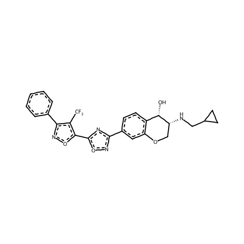 O[C@H]1c2ccc(-c3noc(-c4onc(-c5ccccc5)c4C(F)(F)F)n3)cc2OC[C@H]1NCC1CC1